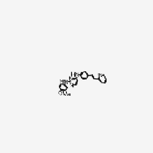 COc1ccc(Nc2nccc(Nc3ccc(C=Cc4ccccn4)cc3)n2)cc1